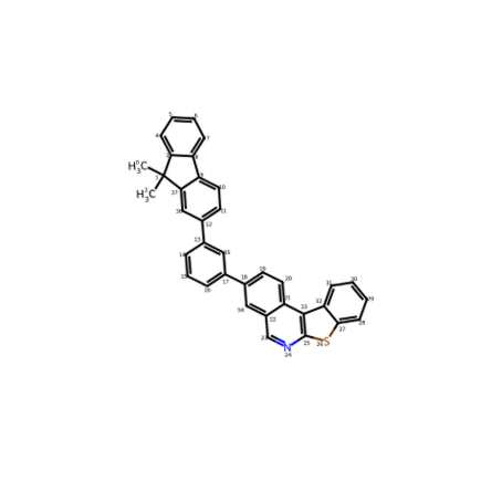 CC1(C)c2ccccc2-c2ccc(-c3cccc(-c4ccc5c(cnc6sc7ccccc7c65)c4)c3)cc21